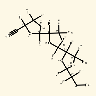 N#CC(F)(OC(F)(F)C(F)(OC(F)(F)C(F)(OC(F)(F)C(F)(F)CF)C(F)(F)F)C(F)(F)F)C(F)(F)F